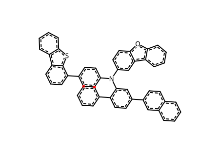 c1ccc(-c2ccc(-c3ccc4ccccc4c3)cc2N(c2ccc(-c3cccc4c3sc3ccccc34)cc2)c2ccc3oc4ccccc4c3c2)cc1